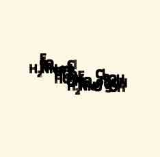 CS[C@H]1O[C@@H](c2ccc(Cl)c(Cc3ccc(OC4CCN(C5COC(c6cc(F)c(CS[C@H]7O[C@@H](c8ccc(Cl)c(Cc9ccc(OC%10CN(C%11COC(c%12cc(F)ccc%12F)C(N)C%11)C%10)cc9)c8)[C@H](O)[C@@H](O)[C@@H]7O)cc6F)C(N)C5)C4)cc3)c2)[C@H](O)[C@@H](O)[C@@H]1O